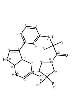 CC(C)(Nc1ccnc(C2=CNC3NC=C(Cl)CC23)n1)C(=O)N1CCC(F)(F)C1